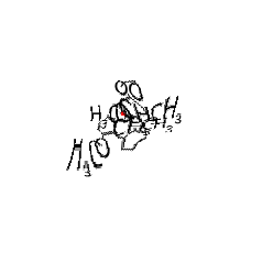 COc1cccc(OC)c1-c1ccccc1P1C(C)(C)CC2(CC1(C)C)OCCO2